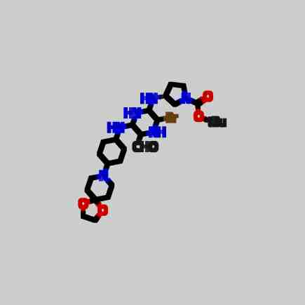 CC(C)(C)OC(=O)N1CC[C@@H](NC2NC(NC3CCC(N4CCC5(CC4)OCCO5)CC3)C(C=O)NC2Br)C1